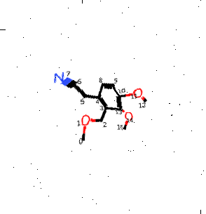 COCc1c(CC#N)ccc(OC)c1OC